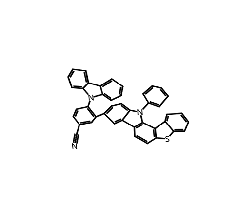 N#Cc1ccc(-n2c3ccccc3c3ccccc32)c(-c2ccc3c(c2)c2ccc4sc5ccccc5c4c2n3-c2ccccc2)c1